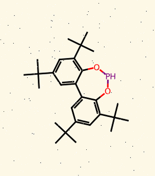 CC(C)(C)c1cc(C(C)(C)C)c2o[pH]oc3c(C(C)(C)C)cc(C(C)(C)C)cc3c2c1